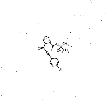 CC(C)(C)OC(=O)N1CCCC1C(=O)C#Cc1ccc(Br)cc1